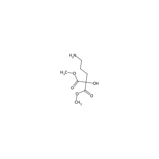 COC(=O)C(O)(CCCN)C(=O)OC